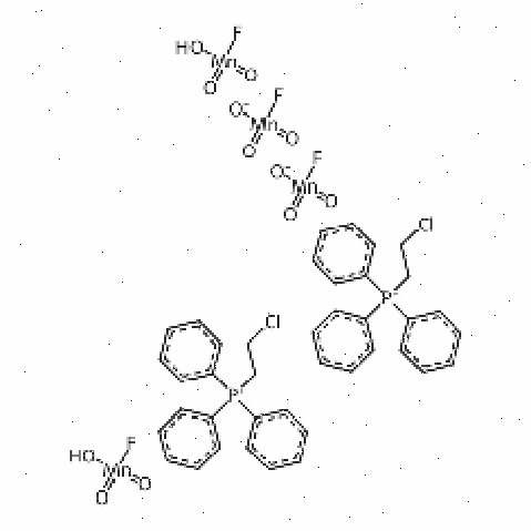 ClCC[P+](c1ccccc1)(c1ccccc1)c1ccccc1.ClCC[P+](c1ccccc1)(c1ccccc1)c1ccccc1.[O]=[Mn](=[O])([O-])[F].[O]=[Mn](=[O])([O-])[F].[O]=[Mn](=[O])([OH])[F].[O]=[Mn](=[O])([OH])[F]